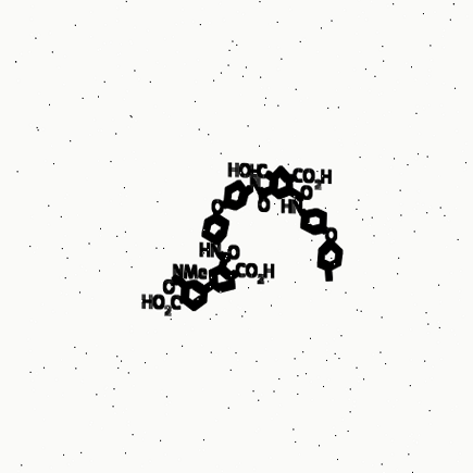 CNC(=O)c1cc(-c2ccc(C(=O)O)c(C(=O)NC3=CC=C(OC4=CC=C(NC(=O)c5cc(C(=O)NC6=CC=C(OC7=CC=C(C)CC7)CC6)c(C(=O)O)cc5C(=O)O)CC4)CC3)c2)ccc1C(=O)O